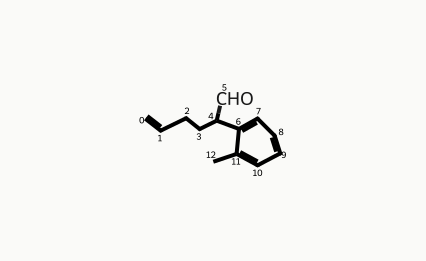 C=CCCC(C=O)c1ccccc1C